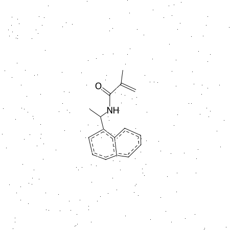 C=C(C)C(=O)NC(C)c1cccc2ccccc12